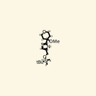 COC1(c2nc(CO[Si](C)(C)C(C)(C)C)cs2)CCOCC1